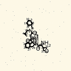 C[C@@H](C1CC1)N(Cc1ccccc1)C(=O)CN1C(=O)OC2(C1=O)c1ccccc1CC2NC(=O)[C@H](N)C1COC1